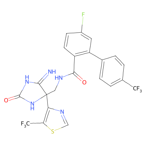 N=C1NC(=O)NC1(CNC(=O)c1ccc(F)cc1-c1ccc(C(F)(F)F)cc1)c1ncsc1C(F)(F)F